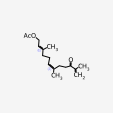 C=C(C)C(=O)CC/C(C)=C\CC/C(C)=C/COC(C)=O